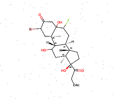 CC(=O)OCC(=O)[C@@]1(O)CC[C@H]2[C@@H]3CC(F)C4(O)CC(=O)C(Br)C[C@]4(C)[C@H]3C(O)C[C@@]21C